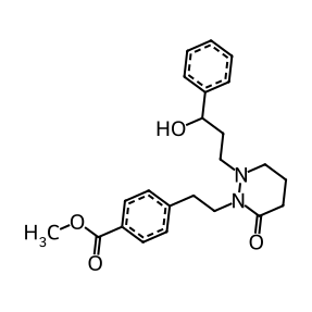 COC(=O)c1ccc(CCN2C(=O)CCCN2CCC(O)c2ccccc2)cc1